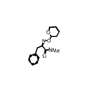 CNC(=O)/C(Cc1ccccc1)=N\OC1CCCCO1